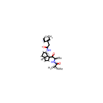 C/C=C\C(=C/C)CC(=O)N[C@H]1CC[C@@H]2CCC(C(=O)C(NC(=O)[C@H](C)NC)C(C)(C)C)C21